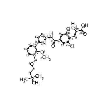 COc1c(COCCC(C)(C)C)cccc1-c1csc(NC(=O)c2cc(Cl)c(C=C(C)C(=O)O)c(Cl)c2)n1